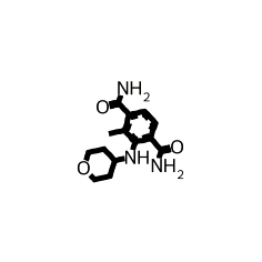 Cc1c(C(N)=O)ccc(C(N)=O)c1NC1CCOCC1